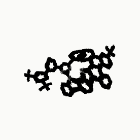 CC(C)(C)c1cc(-c2cccc(-c3cc(-c4ccccc4)nc(-n4c5ccccc5c5ccc6c(sc7c6c6ccccc6c6c8ccc(C(C)(C)C)cc8c8ccccc8c76)c54)n3)c2)cc(C(C)(C)C)c1